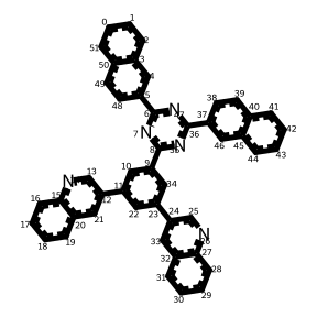 c1ccc2cc(-c3nc(-c4cc(-c5cnc6ccccc6c5)cc(-c5cnc6ccccc6c5)c4)nc(-c4ccc5ccccc5c4)n3)ccc2c1